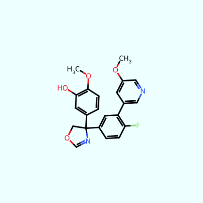 COc1cncc(-c2cc(C3(c4ccc(OC)c(O)c4)COC=N3)ccc2F)c1